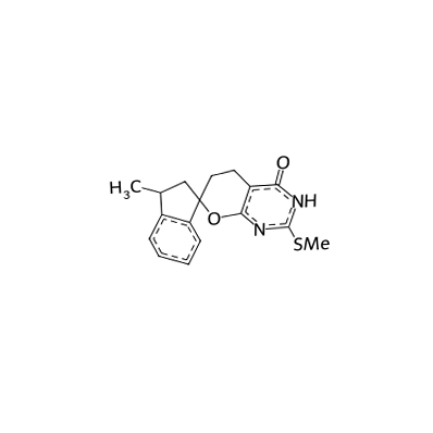 CSc1nc2c(c(=O)[nH]1)CCC1(CC(C)c3ccccc31)O2